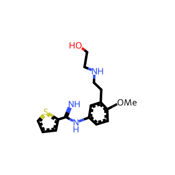 COc1ccc(NC(=N)c2cccs2)cc1CCNCCO